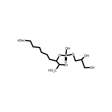 CCCCCCCCCCCCCCCCC(OP(=O)(O)OCC(O)CO)C(CC)C(=O)O